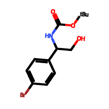 CC(C)(C)OC(=O)NC(CO)c1ccc(Br)cc1